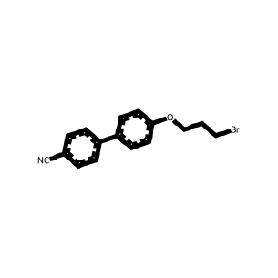 N#Cc1ccc(-c2ccc(OCCCBr)cc2)cc1